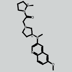 COc1ccc2ncc(N(C)[C@H]3CCN(CC(=O)N4CCC[C@H]4C)C3)cc2c1